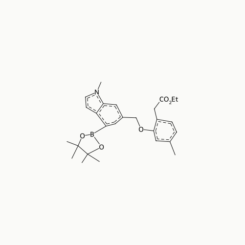 CCOC(=O)Cc1ccc(C)cc1OCc1cc(B2OC(C)(C)C(C)(C)O2)c2ccn(C)c2c1